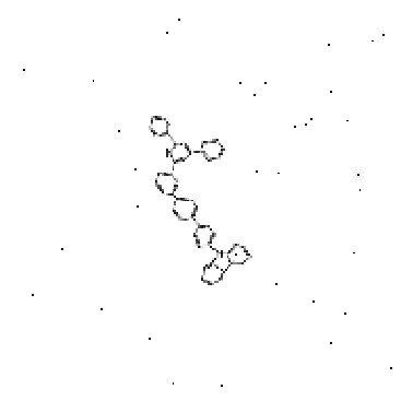 c1ccc(-c2cc(-c3ccccc3)nc(-c3cccc(-c4ccc(-c5ccc(-n6c7ccccc7c7ccccc76)cc5)cc4)c3)c2)cc1